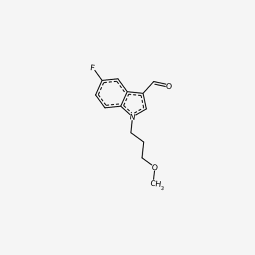 COCCCn1cc(C=O)c2cc(F)ccc21